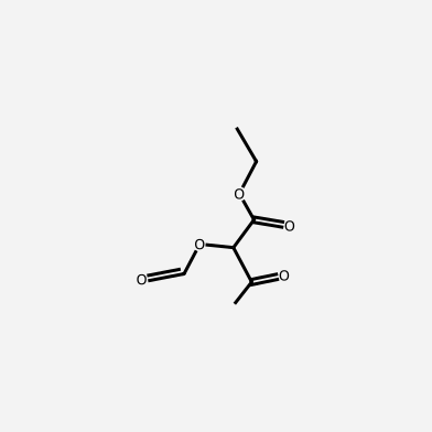 CCOC(=O)C(OC=O)C(C)=O